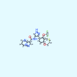 O=C(Nc1c[nH]nc1-c1ccc2c(c1OC(F)F)CSCCO2)c1cnn2cccnc12